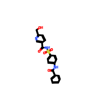 O=C(Nc1ccc(S(=O)(=O)NC(=O)c2ccc(CO)nc2)cc1)c1ccccc1